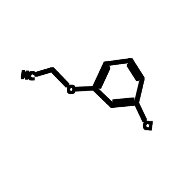 N#CCOc1cccc(Cl)c1